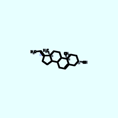 C/C=C1\CCC2C3CC=C4C[C@@H](O)CC[C@]4(C)C3CC[C@]12C